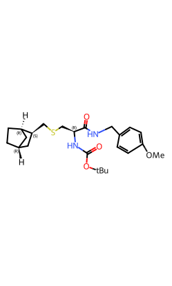 COc1ccc(CNC(=O)[C@H](CSC[C@H]2C[C@@H]3CC[C@@H]2C3)NC(=O)OC(C)(C)C)cc1